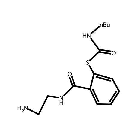 CCCCNC(=O)Sc1ccccc1C(=O)NCCN